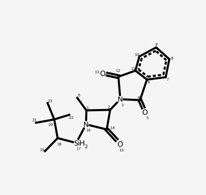 CC1C(N2C(=O)c3ccccc3C2=O)C(=O)N1[SiH2]C(C)C(C)(C)C